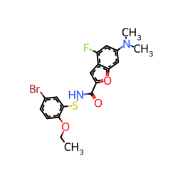 CCOc1ccc(Br)cc1SNC(=O)c1cc2c(F)cc(N(C)C)cc2o1